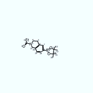 CCC(=O)N1CCc2cc(B3OC(C)(C)C(C)(C)O3)ccc2C1